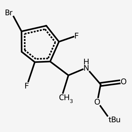 CC(NC(=O)OC(C)(C)C)c1c(F)cc(Br)cc1F